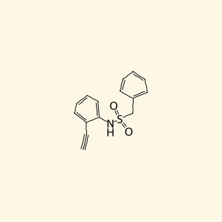 C#Cc1ccccc1NS(=O)(=O)Cc1ccccc1